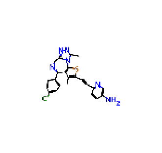 Cc1c(C#Cc2ccc(N)cn2)sc2c1C(c1ccc(Cl)cc1)=NCc1nnc(C)n1-2